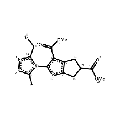 COC(=O)c1c(-n2c(C)nnc2CBr)sc2c1CC(C(=O)OC)C2